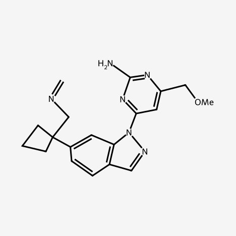 C=NCC1(c2ccc3cnn(-c4cc(COC)nc(N)n4)c3c2)CCC1